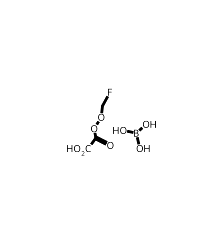 O=C(O)C(=O)OOCF.OB(O)O